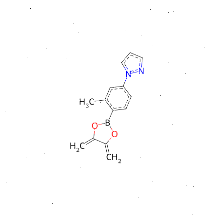 C=C1OB(c2ccc(-n3cccn3)cc2C)OC1=C